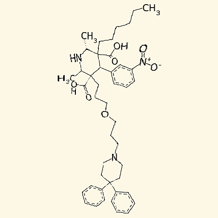 CCCCCCC1(C(=O)O)C(c2cccc([N+](=O)[O-])c2)C(CCCOCCCN2CCC(c3ccccc3)(c3ccccc3)CC2)(C(=O)O)C(C)N[C@@H]1C